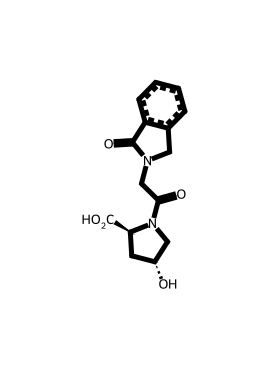 O=C(O)[C@@H]1C[C@@H](O)CN1C(=O)CN1Cc2ccccc2C1=O